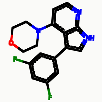 Fc1cc(F)cc(-c2c[nH]c3nccc(N4CCOCC4)c23)c1